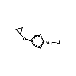 [Cl][Mg][c]1ccc(OC2CC2)cn1